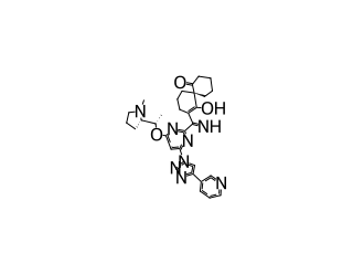 C[C@H](Oc1cc(-n2cc(-c3cccnc3)nn2)nc(C(=N)C2=C(O)[C@]3(CCCCC3=O)CCC2)n1)[C@@H]1CCCN1C